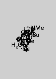 CCC(C)[C@@H]([C@@H](CC(=O)N1CCC[C@H]1C(OC)C(C)C(=O)N[C@@H](Cc1ccccc1)c1nccs1)OC)N(C)C(=O)[C@@H](NC(=O)C(NC)C(C)C)[C@H](C)CC